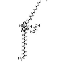 CCCCCCCCCCCCCCCC(=O)C(O)C(O)(CO)C(=O)CCCCCCCCCCCCCCC.OCCO